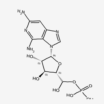 Nc1cc2ncn([C@@H]3O[C@H](C(O)OP(=O)(O)O)[C@@H](O)[C@@H]3O)c2c(N)n1